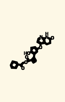 O=C1CCc2c(Oc3ccc(O)c(C4C5CC54C(=O)OCC(=O)c4ccccc4)c3)ccnc2N1